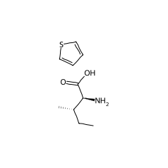 CC[C@H](C)[C@H](N)C(=O)O.c1ccsc1